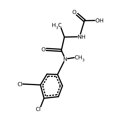 CC(NC(=O)O)C(=O)N(C)c1ccc(Cl)c(Cl)c1